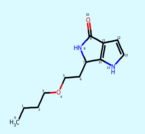 CCCCOCCC1NC(=O)c2cc[nH]c21